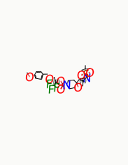 COc1ccc(COC[C@@H](OC(=O)N2CCC3(CC2)C[C@@H](N(C)S(=O)(=O)C(C)(C)C)CO3)C(F)(F)F)cc1